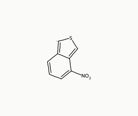 O=[N+]([O-])c1cccc2[c]scc12